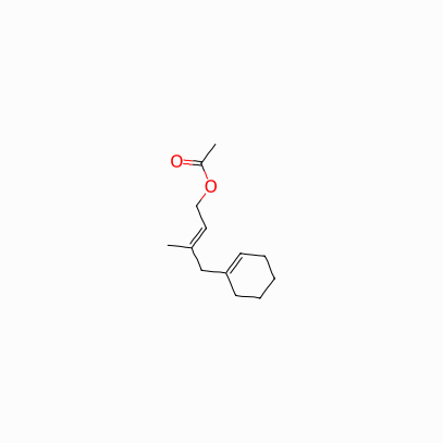 CC(=O)OCC=C(C)CC1=CCCCC1